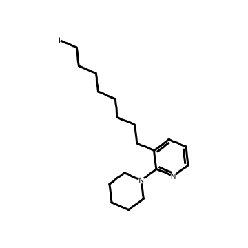 ICCCCCCCCc1cccnc1N1CCCCC1